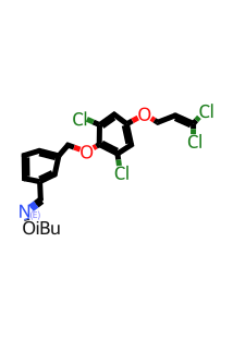 CC(C)CO/N=C/c1cccc(COc2c(Cl)cc(OCC=C(Cl)Cl)cc2Cl)c1